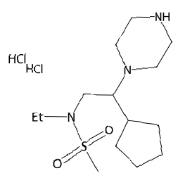 CCN(CC(C1CCCC1)N1CCNCC1)S(C)(=O)=O.Cl.Cl